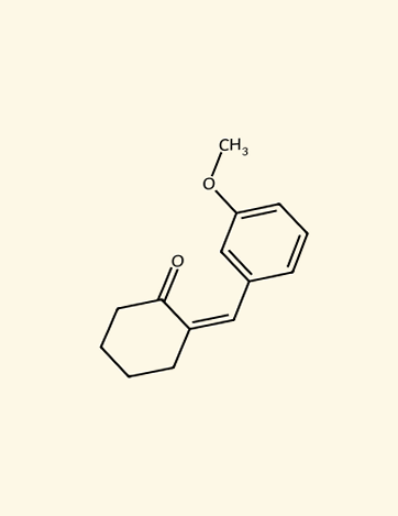 COc1cccc(/C=C2/CCCCC2=O)c1